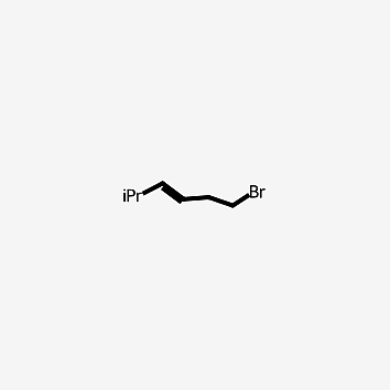 CC(C)/C=C/CCBr